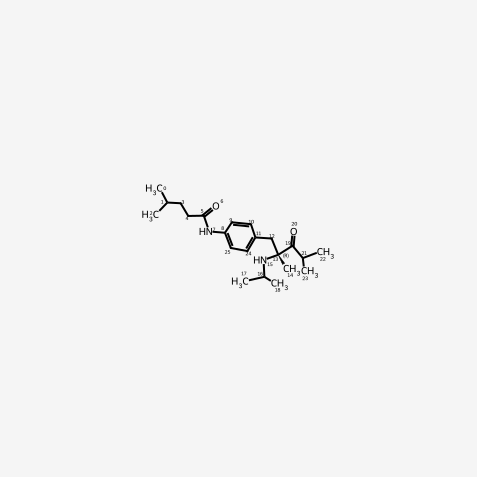 CC(C)CCC(=O)Nc1ccc(C[C@@](C)(NC(C)C)C(=O)C(C)C)cc1